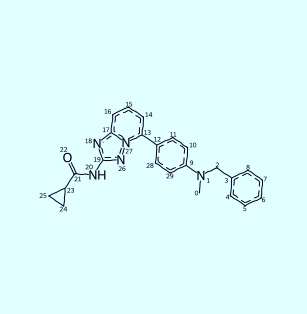 CN(Cc1ccccc1)c1ccc(-c2cccc3nc(NC(=O)C4CC4)nn23)cc1